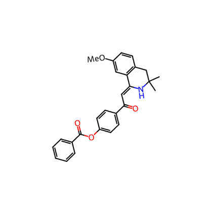 COc1ccc2c(c1)/C(=C/C(=O)c1ccc(OC(=O)c3ccccc3)cc1)NC(C)(C)C2